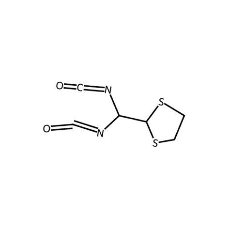 O=C=NC(N=C=O)C1SCCS1